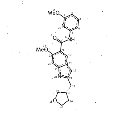 COc1cccc(NC(=O)c2cn3cc(C[C@@H]4CCOC4)nc3cc2OC)n1